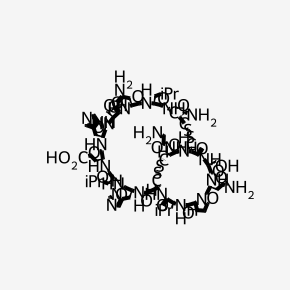 CC(C)C[C@@H]1NC(=O)[C@H](CC(N)=O)NC(=O)[C@H](CO)NC(=O)[C@H](Cc2cnc[nH]2)NC(=O)[C@H](CCC(=O)O)NC(=O)[C@H](CC(C)C)NC(=O)[C@H](Cc2cnc[nH]2)NC(=O)[C@@H]2CSSC[C@H](NC(=O)CN)C(=O)N[C@@H](CSSC[C@@H](C(N)=O)CNC1=O)C(=O)N[C@@H](CO)C(=O)N[C@@H](CC(N)=O)C(=O)N1CCC[C@H]1C(=O)N[C@@H](C(C)C)C(=O)N2